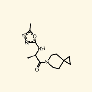 Cc1nnc(N[C@H](C)C(=O)N2CCC3(CC2)CC3)o1